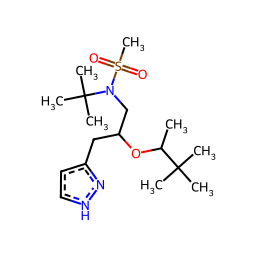 CC(OC(Cc1cc[nH]n1)CN(C(C)(C)C)S(C)(=O)=O)C(C)(C)C